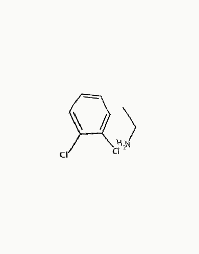 CCN.Clc1ccccc1Cl